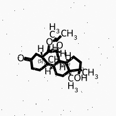 CC1(C)O[C@H]2[C@H](O1)[C@H]1CC(=O)CC[C@]1(C)[C@H]1CC[C@@]3(C)[C@@H](CC[C@]3(C)O)[C@H]21